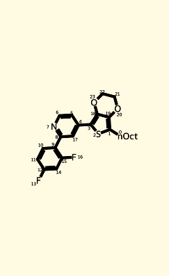 CCCCCCCCc1sc(-c2ccnc(-c3ccc(F)cc3F)c2)c2c1OCCO2